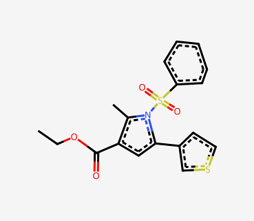 CCOC(=O)c1cc(-c2ccsc2)n(S(=O)(=O)c2ccccc2)c1C